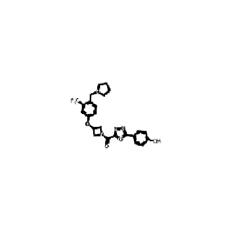 O=C(c1nnc(-c2ccc(O)cc2)o1)N1CC(Oc2ccc(CN3CCCC3)c(C(F)(F)F)c2)C1